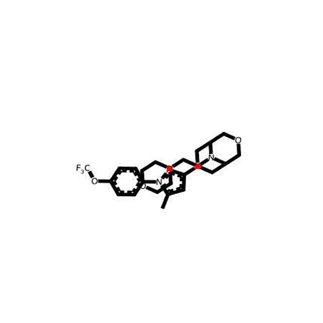 Cc1cc(N2CC3COCC(C2)N3CCN2CCOCC2)nn1-c1ccc(OC(F)(F)F)cc1